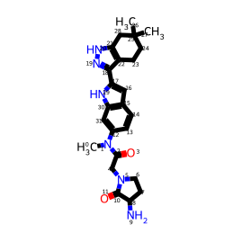 CN(C(=O)CN1CCC(N)C1=O)c1ccc2cc(-c3n[nH]c4c3CCC(C)(C)C4)[nH]c2c1